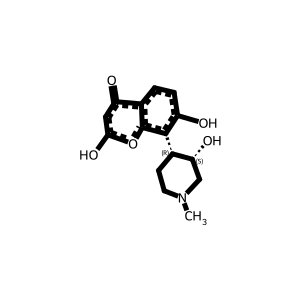 CN1CC[C@H](c2c(O)ccc3c(=O)cc(O)oc23)[C@H](O)C1